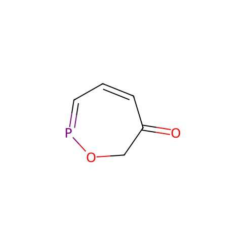 O=C1C=CC=POC1